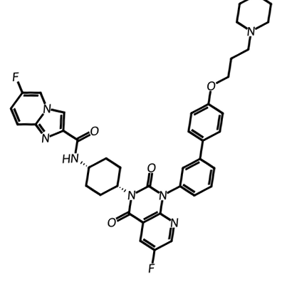 O=C(N[C@H]1CC[C@@H](n2c(=O)c3cc(F)cnc3n(-c3cccc(-c4ccc(OCCCN5CCCCC5)cc4)c3)c2=O)CC1)c1cn2cc(F)ccc2n1